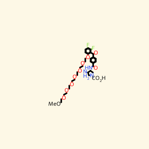 COCCOCCOCCOCCOCCOCCOCCOc1ccc(F)c(F)c1C(=O)c1ccc(C(=O)N[C@@H]2CN(C(=O)O)C[C@H]2N)cc1